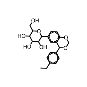 CCc1ccc(C2OCOc3ccc(C4OC(CO)C(O)C(O)C4O)cc32)cc1